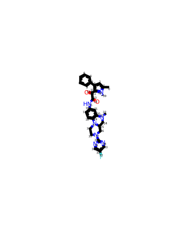 Cc1cc(-c2ccccc2)c(C(=O)C(=O)Nc2ccc3c(c2)N(C)CC2CN(c4ncc(F)cn4)CCN32)n1C